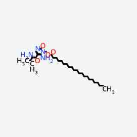 CCCCCCCCCCCCCCCCCCCCCC(=O)OCn1c(N)c(C(=O)[C@@H](N)C(C)C)cnc1=O